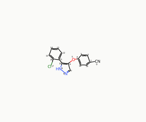 N#Cc1ccc(Oc2cn[nH]c2-c2ccccc2Cl)cc1